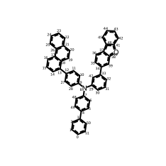 c1ccc(-c2ccc(N(c3ccc(-c4cccc5c4ccc4ccccc45)cc3)c3cccc(-c4ccc5c(c4)oc4ccccc45)c3)cc2)cc1